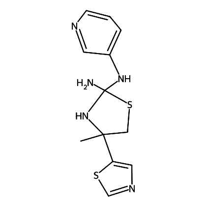 CC1(c2cncs2)CSC(N)(Nc2cccnc2)N1